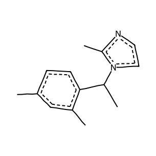 Cc1ccc(C(C)n2ccnc2C)c(C)c1